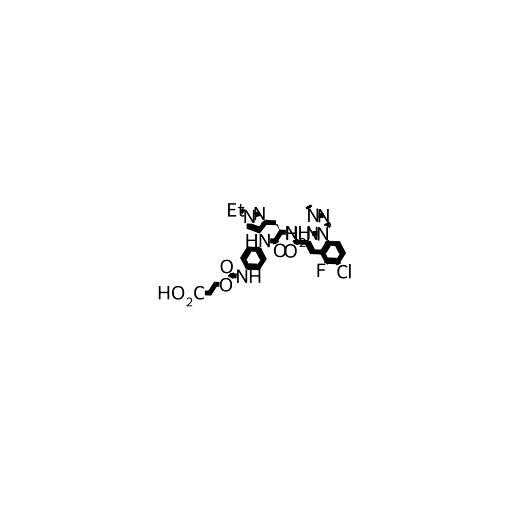 C=N/N=C\N(N)c1ccc(Cl)c(F)c1/C=C/C(=O)N[C@@H](Cc1ccn(CC)n1)C(=O)Nc1ccc(NC(=O)OCCC(=O)O)cc1